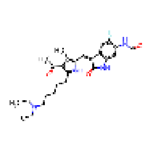 CCN(CC)CCCCCc1[nH]c(/C=C2\C(=O)Nc3cc(NC=O)c(F)cc32)c(C)c1C(C)=O